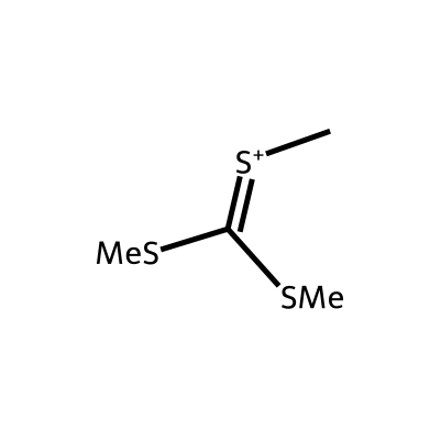 CSC(SC)=[S+]C